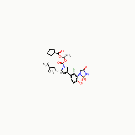 CC(C)CC[C@H]1C=C(c2ccc(O)c(N3CC(=O)NS3(=O)=O)c2F)CN1C(=O)OC(C)OC(=O)C1CCCC1